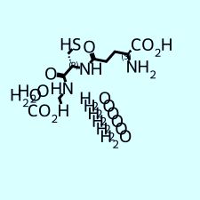 N[C@@H](CCC(=O)N[C@@H](CS)C(=O)NCC(=O)O)C(=O)O.O.O.O.O.O.O.O.O